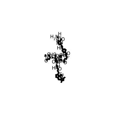 CCN1C(=O)CC(SC[C@H](NC(=O)[C@H](CCNC(=O)CCC2=[N+]3C(=Cc4c(C)cc(C)n4[B-]3(F)F)C=C2)NC(=O)[C@H](CC(=O)O)NC(=O)CC[C@@H](C)NC(=O)c2ccc(NCc3cnc4nc(N)[nH]c(=O)c4n3)cc2)C(=O)O)C1=O